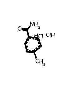 Cc1ccc(C(N)=O)cc1.Cl.Cl